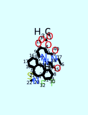 COC(=O)Oc1c2n(ccc1=O)N([C@@H]1c3ccccc3-c3scnc3-c3c1ccc(F)c3F)[C@@H]1COCCN1C2=O